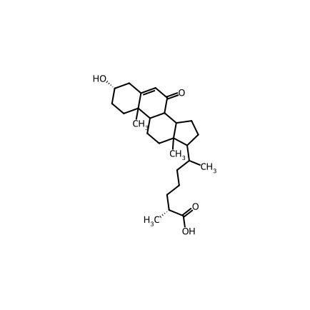 CC(CCC[C@@H](C)C(=O)O)C1CCC2C3C(=O)C=C4C[C@@H](O)CCC4(C)C3CCC12C